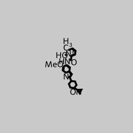 COc1cc2c(cc1NC(=O)c1cccc(C)[n+]1O)=CC(C1CCC(O)(C3CC3)CC1)=[N+]=2